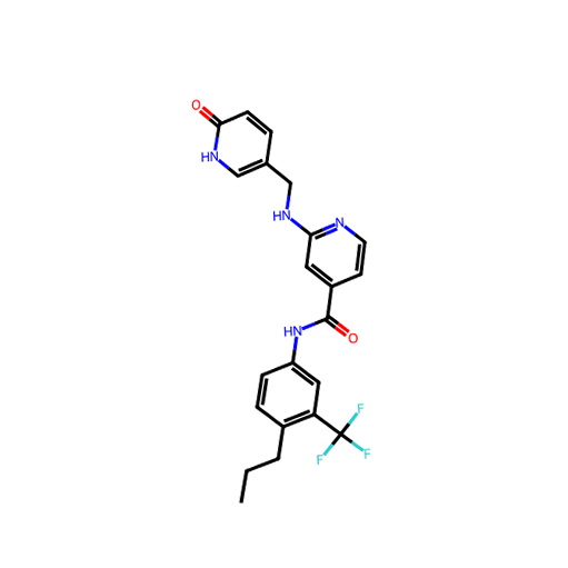 CCCc1ccc(NC(=O)c2ccnc(NCc3ccc(=O)[nH]c3)c2)cc1C(F)(F)F